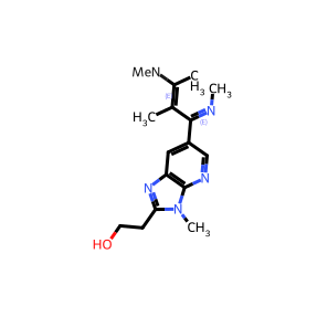 C/N=C(\C(C)=C(/C)NC)c1cnc2c(c1)nc(CCO)n2C